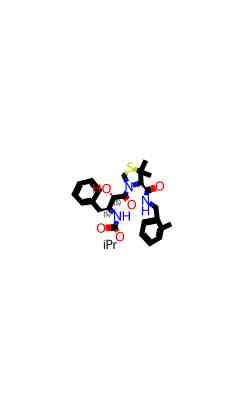 Cc1ccccc1CNC(=O)[C@H]1N(C(=O)[C@@H](O)[C@H](Cc2ccccc2)NC(=O)OC(C)C)CSC1(C)C